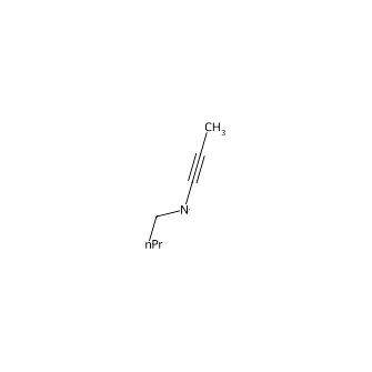 CC#C[N]CCCC